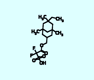 CCC1(C)CC2(C)CC(COC(=O)C(F)(F)S(=O)(=O)O)CC(C)(C1)C2